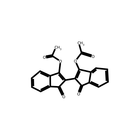 CC(=O)OC1=C(C2=C(OC(C)=O)c3ccccc3C2=O)C(=O)c2ccccc21